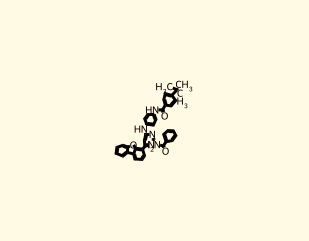 CC(C)(C)c1ccc(C(=O)Nc2ccc(Nc3cc(-c4cccc5c4oc4ccccc45)ncn3)cc2)cc1.NC(=O)c1ccccc1